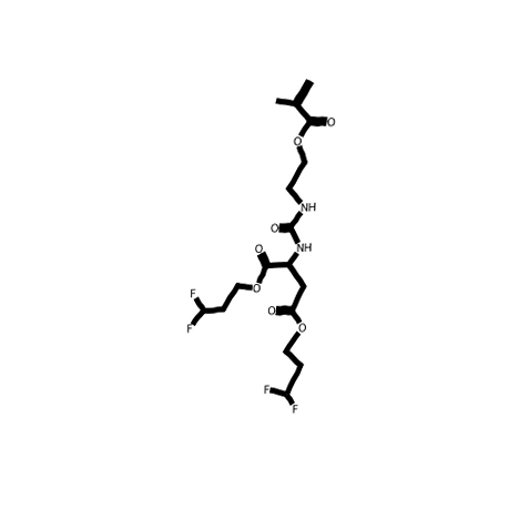 C=C(C)C(=O)OCCNC(=O)NC(CC(=O)OCCC(F)F)C(=O)OCCC(F)F